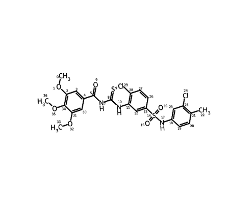 COc1cc(C(=O)NC(=S)Nc2cc(S(=O)(=O)Nc3ccc(C)c(Cl)c3)ccc2Cl)cc(OC)c1OC